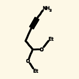 CCOC(CC#CN)OCC